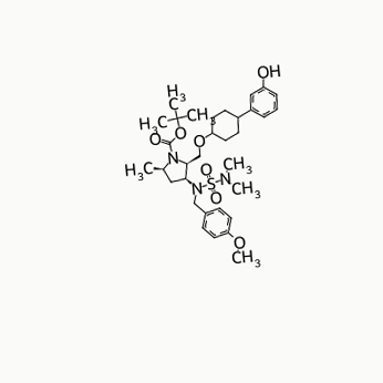 COc1ccc(CN([C@H]2C[C@@H](C)N(C(=O)OC(C)(C)C)[C@H]2COC2CCC(c3cccc(O)c3)CC2)S(=O)(=O)N(C)C)cc1